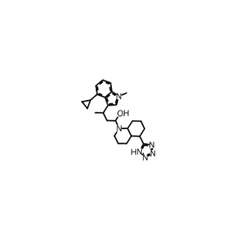 CC(CC(O)N1CCCC2C(c3nnn[nH]3)CCCC21)c1cn(C)c2cccc(C3CC3)c12